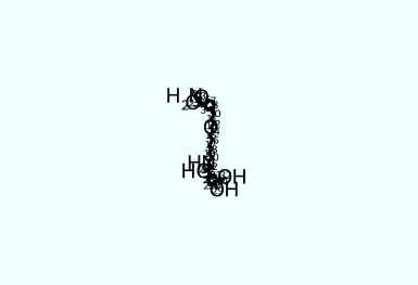 NS(=O)(=O)Cc1cccc(CCCOCCCCCCCNCC(O)c2ccc(O)c(CO)c2)c1